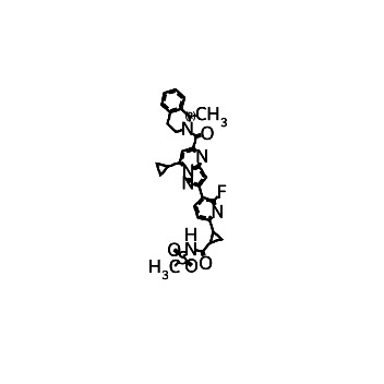 C[C@@H]1c2ccccc2CCN1C(=O)c1cc(C2CC2)n2nc(-c3ccc(C4CC4C(=O)NS(C)(=O)=O)nc3F)cc2n1